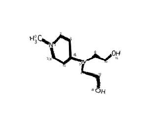 CN1CCC(N(CCO)CCO)CC1